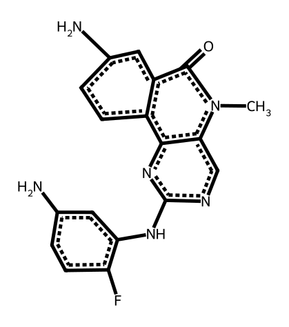 Cn1c(=O)c2cc(N)ccc2c2nc(Nc3cc(N)ccc3F)ncc21